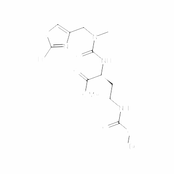 COC(=O)[C@H](CCNC(=O)OC(C)(C)C)NC(=O)N(C)Cc1csc(C(C)C)n1